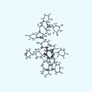 c1ccc(-c2nc(-c3ccccc3)nc(-c3ccc(-n4c5ccccc5c5cc6c7ccccc7n(-c7ccccc7)c6cc54)cc3-c3cc(-c4ccncc4)ccc3-n3c4ccccc4c4cc5c6ccccc6n(-c6ccccc6)c5cc43)n2)cc1